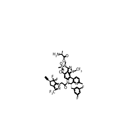 C#C[C@@H]1Cc2c(C(F)(F)F)nn(CC(=O)N[C@@H](Cc3cc(F)cc(F)c3)c3nc(C)ccc3-c3ccc(Cl)c4c(N(COC(=O)[C@H](C)N)S(C)(=O)=O)nn(CC(F)(F)F)c34)c2C1(F)F